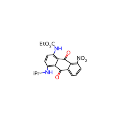 CCOC(=O)Nc1ccc(NC(C)C)c2c1C(=O)c1c(cccc1[N+](=O)[O-])C2=O